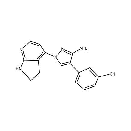 N#Cc1cccc(-c2cn(-c3ccnc4c3CCN4)nc2N)c1